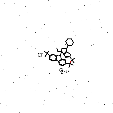 CCC1(C2c3cc(C(C)(C)C)ccc3-c3ccc(C(C)(C)C)cc32)CC(C2CCCCC2)C2=C1C=C(C(C)(C)C)C2.[Cl-].[Cl-].[Zr+2]